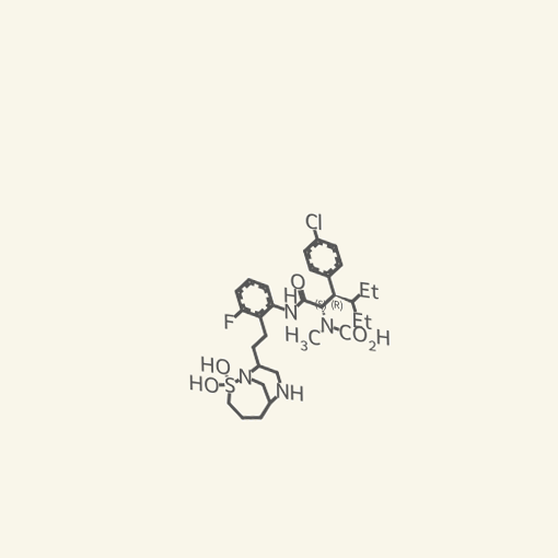 CCC(CC)[C@H](c1ccc(Cl)cc1)[C@@H](C(=O)Nc1cccc(F)c1CCC1CNC2CCCS(O)(O)N1C2)N(C)C(=O)O